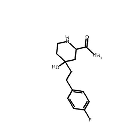 NC(=O)C1CC(O)([CH]Cc2ccc(F)cc2)CCN1